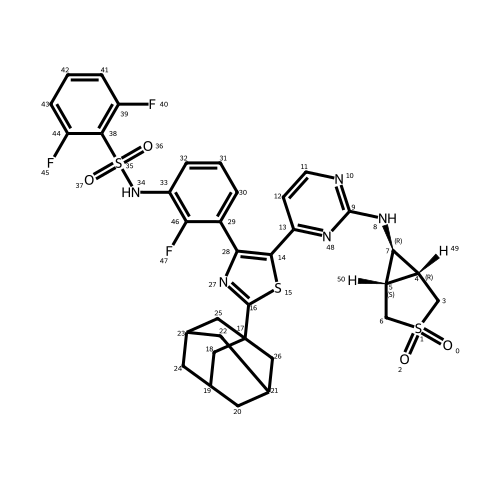 O=S1(=O)C[C@@H]2[C@H](C1)[C@H]2Nc1nccc(-c2sc(C34CC5CC(CC(C5)C3)C4)nc2-c2cccc(NS(=O)(=O)c3c(F)cccc3F)c2F)n1